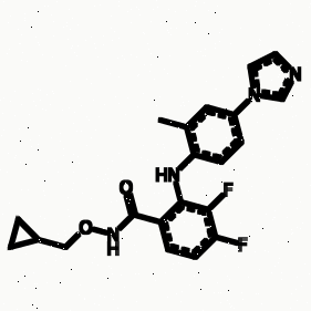 Cc1cc(-n2ccnc2)ccc1Nc1c(C(=O)NOCC2CC2)ccc(F)c1F